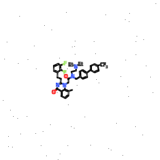 CCN(CC)CCN(Cc1ccc(-c2ccc(C(F)(F)F)cc2)cc1)C(=O)Cn1c(CCc2cccc(F)c2F)nc(=O)c2cccc(C)c21